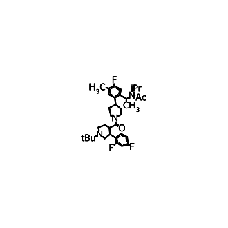 CC(=O)N(C(C)C)C(C)c1cc(F)c(C)cc1C1CCN(C(=O)C2CCN(C(C)(C)C)CC2c2ccc(F)cc2F)CC1